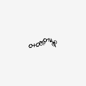 CCOC(=O)C1CN(Cc2ccc(-c3cc4cc(C(C)(C)c5ccccc5)ccc4o3)c(F)c2)C1